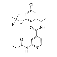 CC(C)C(=O)Nc1cc(C(=O)NC(C)c2cc(Cl)cc(OC(C)(F)F)c2)ccn1